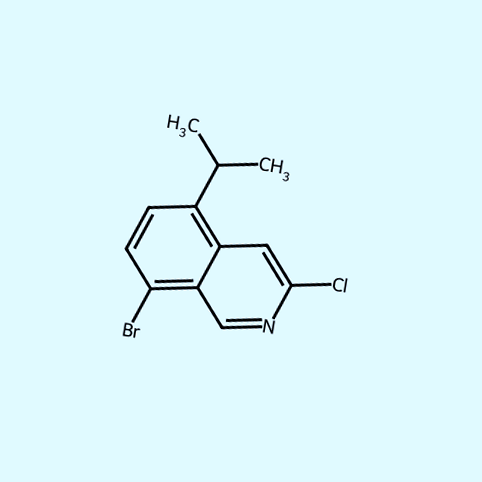 CC(C)c1ccc(Br)c2cnc(Cl)cc12